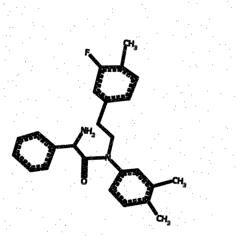 Cc1ccc(N(CCc2ccc(C)c(F)c2)C(=O)C(N)c2ccccc2)cc1C